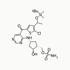 CC(O[Si](C)(C)C(C)(C)C)c1cc(C(=O)c2cncnc2N[C@@H]2C[C@H](COS(N)(=O)=O)[C@@H](O)C2)sc1Cl